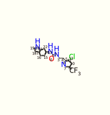 O=C(NCCc1ncc(C(F)(F)F)cc1Cl)Nc1ccc2cc[nH]c2c1